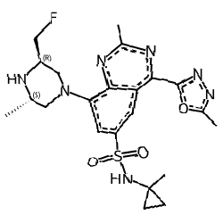 Cc1nc(-c2nnc(C)o2)c2cc(S(=O)(=O)NC3(C)CC3)cc(N3C[C@H](CF)N[C@@H](C)C3)c2n1